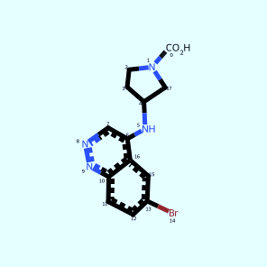 O=C(O)N1CCC(Nc2cnnc3ccc(Br)cc23)C1